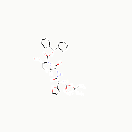 CC(C)(C)OC(=O)NC(C(=O)N[C@@H]1C(=O)N2C(C(=O)OC(c3ccccc3)c3ccccc3)=C(O)CS[C@@H]12)c1ccco1